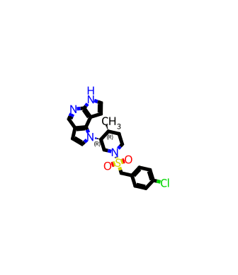 C[C@@H]1CCN(S(=O)(=O)Cc2ccc(Cl)cc2)C[C@@H]1n1ccc2cnc3[nH]ccc3c21